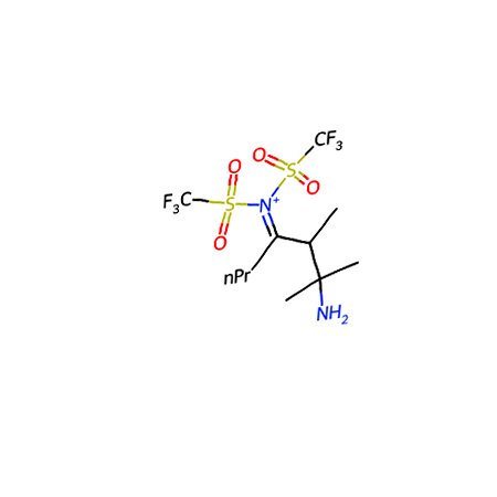 CCCC(C(C)C(C)(C)N)=[N+](S(=O)(=O)C(F)(F)F)S(=O)(=O)C(F)(F)F